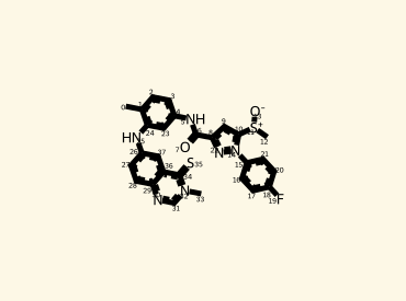 Cc1ccc(NC(=O)c2cc([S+](C)[O-])n(-c3ccc(F)cc3)n2)cc1Nc1ccc2ncn(C)c(=S)c2c1